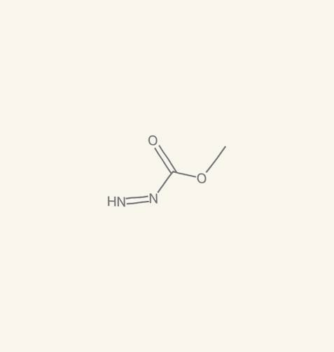 COC(=O)N=N